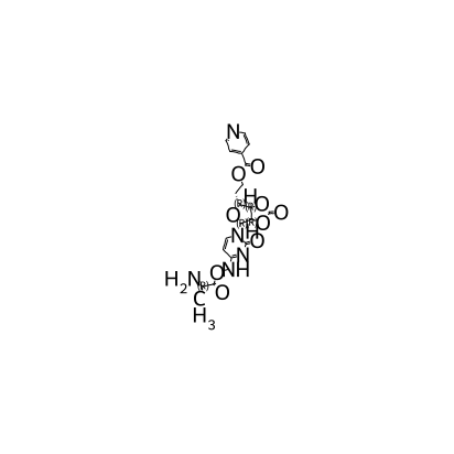 C[C@@H](N)C(=O)ONc1ccn([C@@H]2O[C@H](CCOC(=O)c3ccncc3)[C@H]3OC(=O)O[C@H]32)c(=O)n1